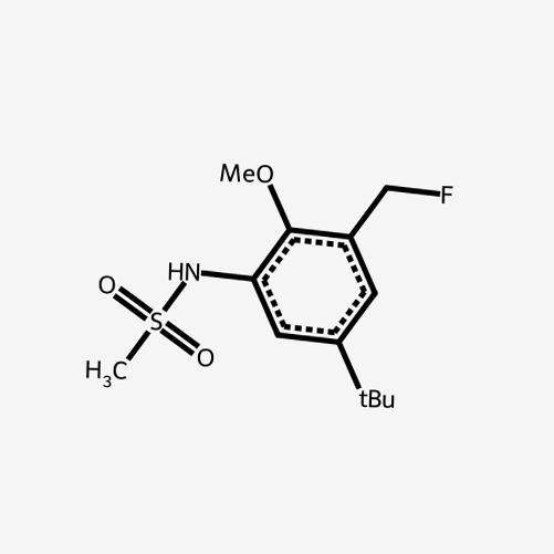 COc1c(CF)cc(C(C)(C)C)cc1NS(C)(=O)=O